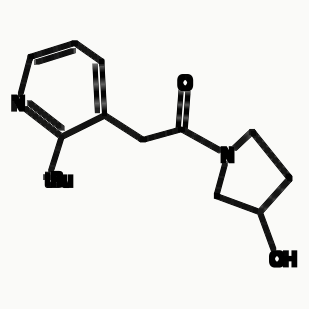 CC(C)(C)c1ncccc1CC(=O)N1CCC(O)C1